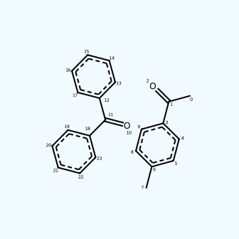 CC(=O)c1ccc(C)cc1.O=C(c1ccccc1)c1ccccc1